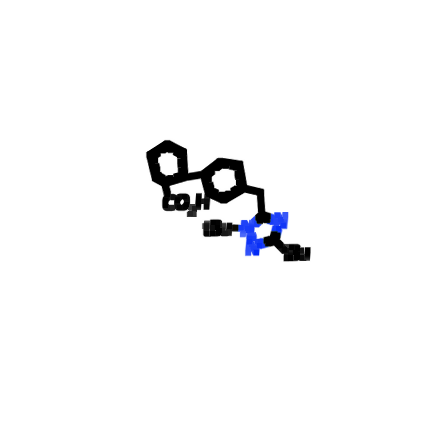 CCC(C)c1nc(Cc2ccc(-c3ccccc3C(=O)O)cc2)n(C(C)(C)C)n1